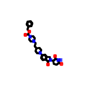 O=C1CCC(N2Cc3cc(N4CCC(CCN5CCN(C(=O)OCc6ccccc6)CC5)CC4)ccc3C2=O)C(=O)N1